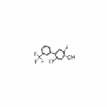 Oc1cc(Cl)c(-c2cccc(C(F)(F)F)c2)cc1I